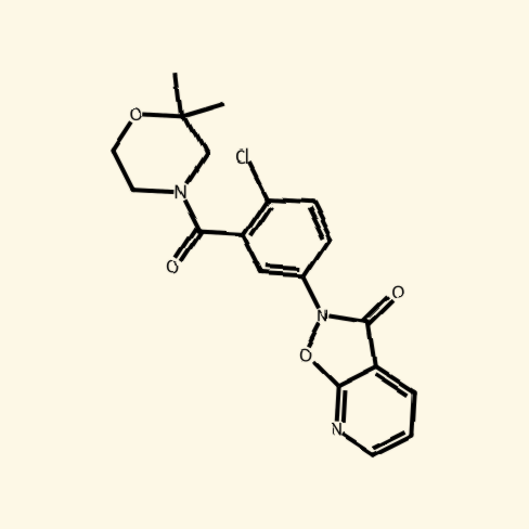 CC1(C)CN(C(=O)c2cc(-n3oc4ncccc4c3=O)ccc2Cl)CCO1